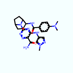 CN(C)c1ccc(C(=O)NC2CCC3CCC2N3c2nnc(C(N)=O)c(Nc3cnn(C)c3)n2)cc1